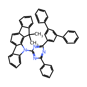 CC1(C)c2ccccc2-c2ccc3c4ccccc4n(-c4nc(-c5ccccc5)nc(-c5cc(-c6ccccc6)cc(-c6ccccc6)c5)n4)c3c21